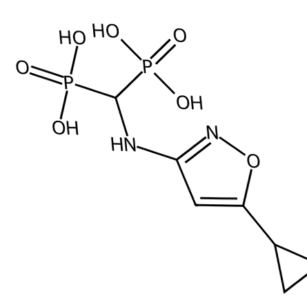 O=P(O)(O)C(Nc1cc(C2CC2)on1)P(=O)(O)O